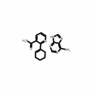 NC(=O)c1cccnc1C1=CCCCC1.Nc1ncnc2[nH]cnc12